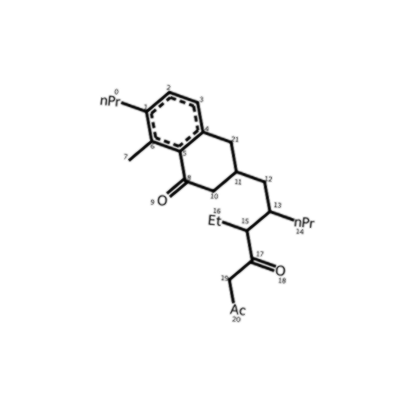 CCCc1ccc2c(c1C)C(=O)CC(CC(CCC)C(CC)C(=O)CC(C)=O)C2